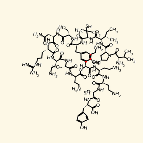 CC[C@H](C)[C@H](NC(=O)[C@@H]1C[C@@H](O)CN1C(=O)[C@@H](N)C(C)C)C(=O)N[C@H](C(=O)N[C@@H](Cc1ccc(O)cc1)C(=O)N[C@@H](CO)C(=O)N[C@@H](CC(N)=O)C(=O)N[C@@H](CCCNC(=N)N)C(=O)N[C@@H](CCN)C(=O)N[C@@H](CO)C(=O)N[C@H](CCN)C(=O)N[C@@H](CCCCN)C(=O)N[C@@H](CCN)C(=O)N[C@@H](CCN)C(=O)N[C@@H](CS)C(=O)N[C@@H](Cc1ccc(O)cc1)C(=O)O)C(C)(C)S